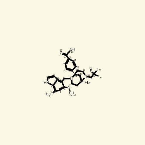 COc1cc(C)c2[nH]ccc2c1CN1CC[C@H]2C[C@]1(c1ccc(C(=O)O)cc1)CCN2CC(F)(F)F